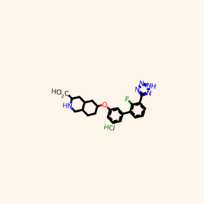 Cl.O=C(O)C1CC2CC(Oc3cccc(-c4cccc(-c5nn[nH]n5)c4F)c3)CCC2CN1